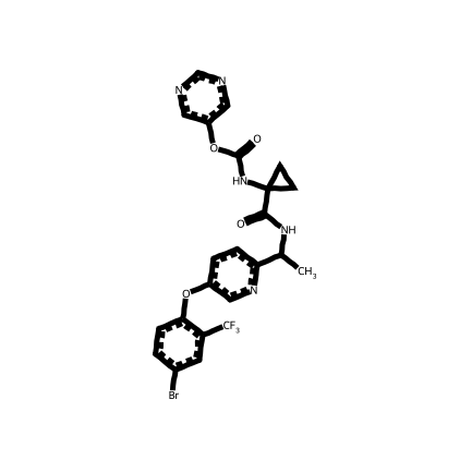 CC(NC(=O)C1(NC(=O)Oc2cncnc2)CC1)c1ccc(Oc2ccc(Br)cc2C(F)(F)F)cn1